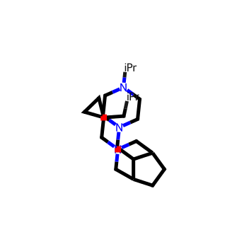 CC(C)CC1(CN2CC3CCC(C2)C3CN2CCN(C(C)C)CC2)CC1